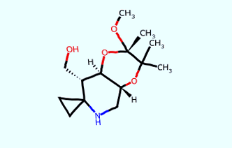 CO[C@@]1(C)O[C@@H]2[C@@H](CO)C3(CC3)NC[C@H]2OC1(C)C